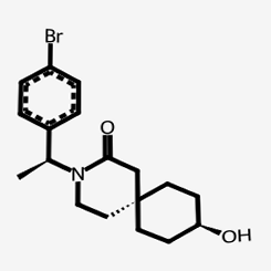 C[C@@H](c1ccc(Br)cc1)N1CC[C@]2(CC[C@H](O)CC2)CC1=O